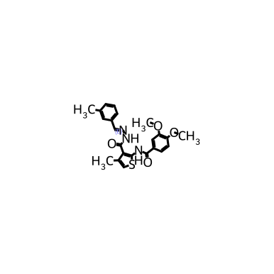 COc1ccc(C(=O)Nc2scc(C)c2C(=O)N/N=C/c2cccc(C)c2)cc1OC